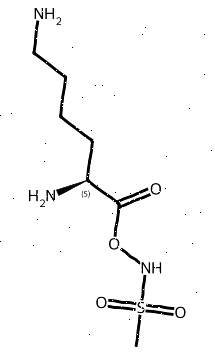 CS(=O)(=O)NOC(=O)[C@@H](N)CCCCN